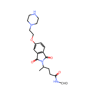 CC(CCC(=O)NC=O)N1C(=O)c2ccc(OCCN3CCNCC3)cc2C1=O